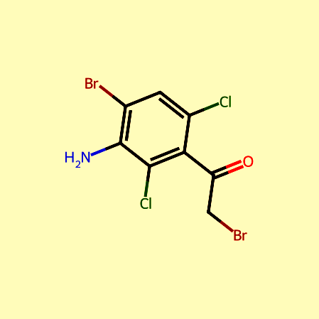 Nc1c(Br)cc(Cl)c(C(=O)CBr)c1Cl